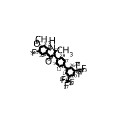 COc1cc2[nH]c(C)c(-c3ccc(-c4cc(C(F)(F)F)cc(C(F)(F)F)c4)cc3)c(=O)c2cc1F